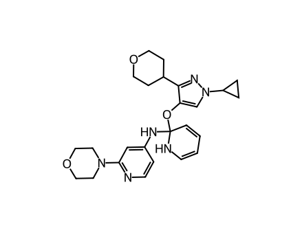 C1=CNC(Nc2ccnc(N3CCOCC3)c2)(Oc2cn(C3CC3)nc2C2CCOCC2)C=C1